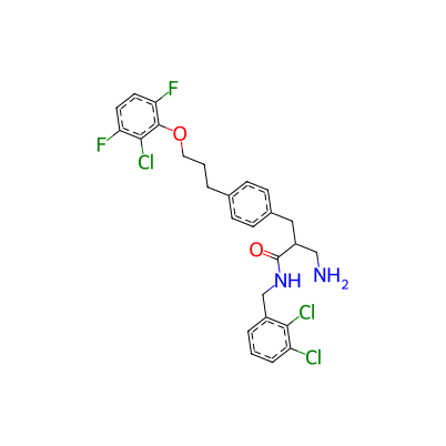 NCC(Cc1ccc(CCCOc2c(F)ccc(F)c2Cl)cc1)C(=O)NCc1cccc(Cl)c1Cl